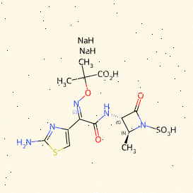 C[C@H]1[C@H](NC(=O)/C(=N\OC(C)(C)C(=O)O)c2csc(N)n2)C(=O)N1S(=O)(=O)O.[NaH].[NaH]